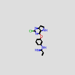 C=CC(=N)Nc1cccc(Oc2nc(Cl)nc3cc[nH]c23)c1